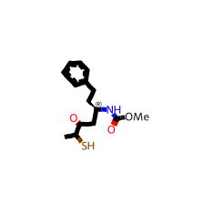 COC(=O)N[C@H](CCc1ccccc1)CC(=O)C(C)S